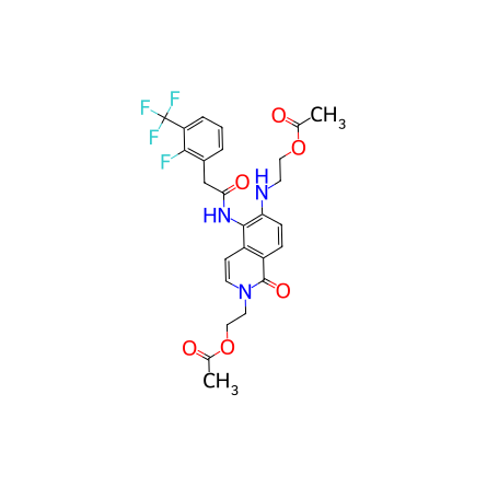 CC(=O)OCCNc1ccc2c(=O)n(CCOC(C)=O)ccc2c1NC(=O)Cc1cccc(C(F)(F)F)c1F